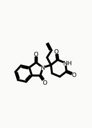 C=CCC1(N2C(=O)c3ccccc3C2=O)CCC(=O)NC1=O